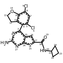 Nc1nc(-c2c(Cl)cc(Cl)c3c2CCO3)c2cc(C(=O)NC3CCC3)sc2n1